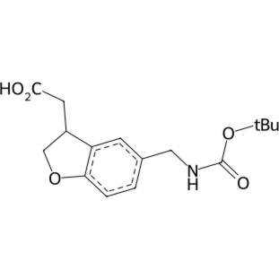 CC(C)(C)OC(=O)NCc1ccc2c(c1)C(CC(=O)O)CO2